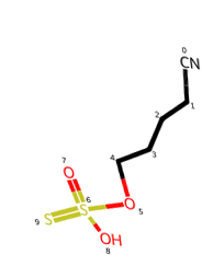 N#CCCCCOS(=O)(O)=S